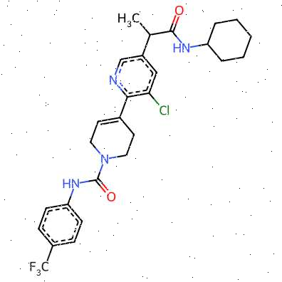 CC(C(=O)NC1CCCCC1)c1cnc(C2=CCN(C(=O)Nc3ccc(C(F)(F)F)cc3)CC2)c(Cl)c1